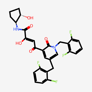 O=C(N[C@H]1CCC[C@@H]1O)C(O)=CC(=O)c1cc(Cc2c(F)cccc2F)cn(Cc2c(F)cccc2F)c1=O